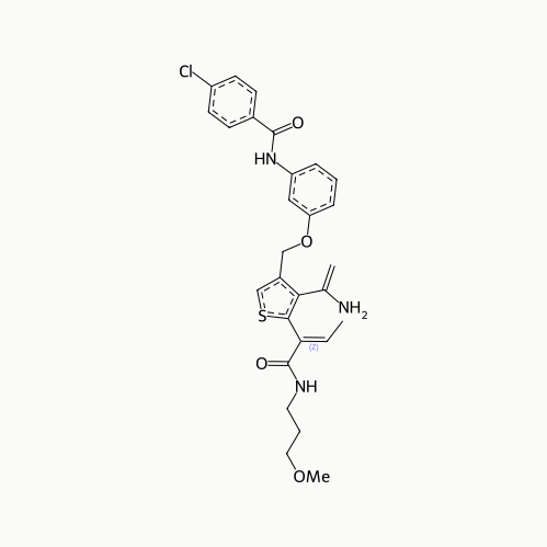 C=C(N)c1c(COc2cccc(NC(=O)c3ccc(Cl)cc3)c2)csc1/C(=C\C)C(=O)NCCCOC